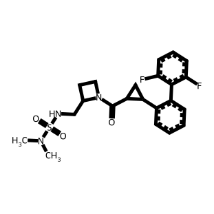 CN(C)S(=O)(=O)NCC1CCN1C(=O)C1CC1c1ccccc1-c1c(F)cccc1F